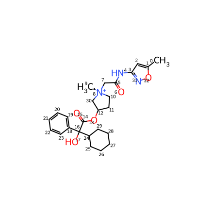 Cc1cc(NC(=O)C[N@+]2(C)CCC(OC(=O)C(O)(c3ccccc3)C3CCCCC3)C2)no1